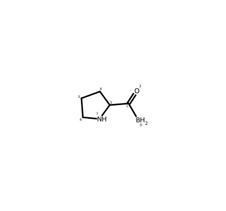 BC(=O)C1CCCN1